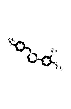 COc1ccc(CN2C=CCN(c3ccc(OC)c(OC)c3)C2)cc1